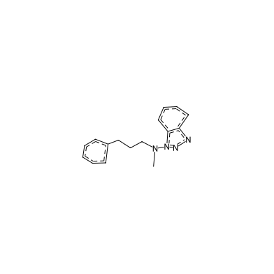 CN(CCCc1ccccc1)n1nnc2ccccc21